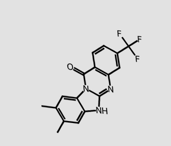 Cc1cc2[nH]c3nc4cc(C(F)(F)F)ccc4c(=O)n3c2cc1C